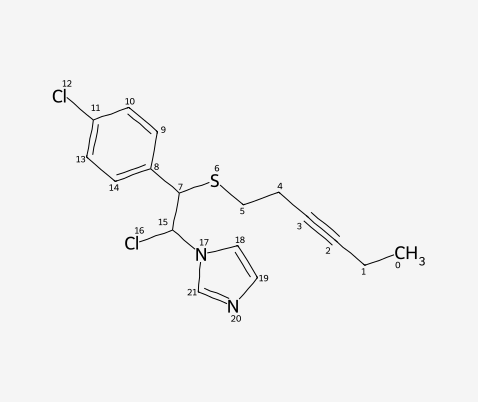 CCC#CCCSC(c1ccc(Cl)cc1)C(Cl)n1ccnc1